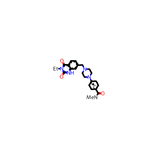 CCn1c(=O)[nH]c2cc(CN3CCN(C45CCC(C(=O)NC)(CC4)CC5)CC3)ccc2c1=O